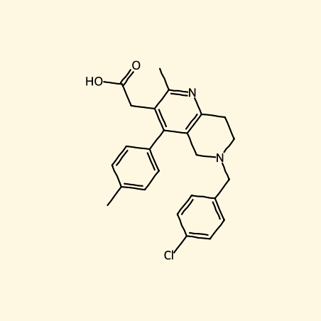 Cc1ccc(-c2c(CC(=O)O)c(C)nc3c2CN(Cc2ccc(Cl)cc2)CC3)cc1